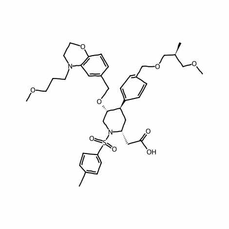 COCCCN1CCOc2ccc(CO[C@H]3CN(S(=O)(=O)c4ccc(C)cc4)[C@@H](CC(=O)O)C[C@@H]3c3ccc(COC[C@@H](C)COC)cc3)cc21